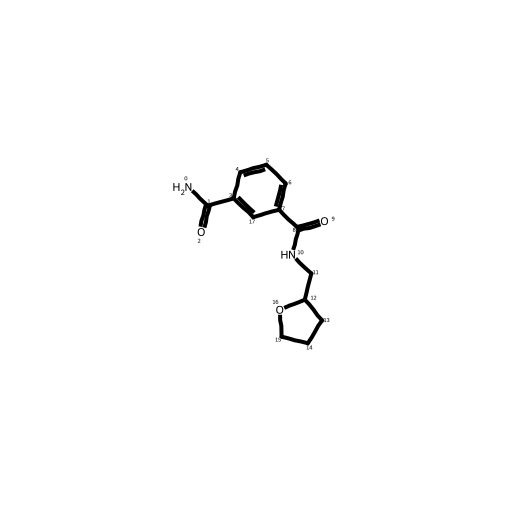 NC(=O)c1cccc(C(=O)NCC2CCCO2)c1